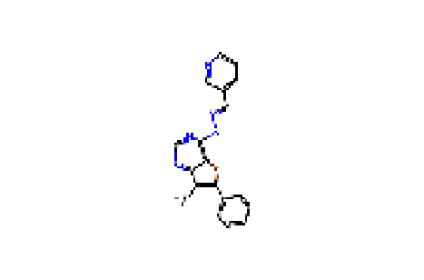 Cc1c(-c2ccccc2)sc2c(NN=Cc3cccnc3)ncnc12